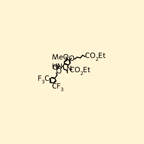 CCOC(=O)CCCCCOc1cc2c(cc1OC)C(NC(=O)OCCc1cc(C(F)(F)F)cc(C(F)(F)F)c1)CC(C)N2C(=O)OCC